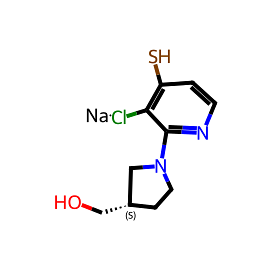 OC[C@H]1CCN(c2nccc(S)c2Cl)C1.[Na]